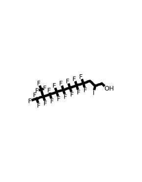 OCC(I)CC(F)(F)C(F)(F)C(F)(F)C(F)(F)C(F)(F)C(F)(F)C(F)(C(F)(F)F)C(F)(F)F